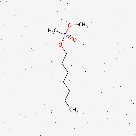 CCCCCCCOP(C)(=O)OC